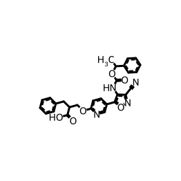 CC(OC(=O)Nc1c(C#N)noc1-c1ccc(OCC(Cc2ccccc2)C(=O)O)nc1)c1ccccc1